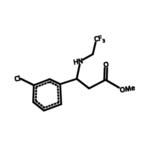 COC(=O)CC(NCC(F)(F)F)c1cccc(Cl)c1